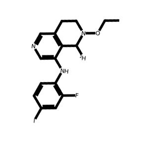 [2H]C1c2c(cncc2Nc2ccc(I)cc2F)CCN1OCC